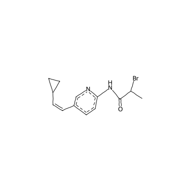 CC(Br)C(=O)Nc1ccc(/C=C\C2CC2)cn1